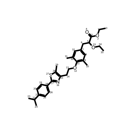 CCOC(=O)C(Cc1cc(C)c(OCCc2nc(-c3ccc(C(C)C)cc3)sc2C)c(C)c1)OCC